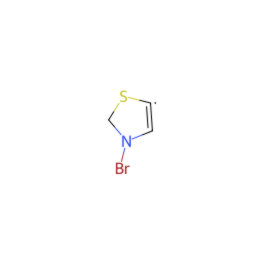 BrN1C=[C]SC1